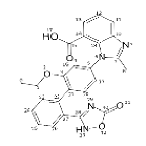 CCOc1cc(-n2c(C)nc3cccc(C(=O)O)c32)ccc1-c1ccccc1-c1nc(=O)o[nH]1